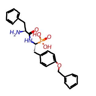 N[C@@H](Cc1ccccc1)C(=O)N[C@@H](Cc1ccc(OCc2ccccc2)cc1)P(=O)(O)O